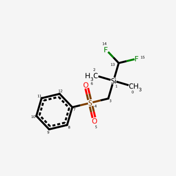 C[Si](C)(CS(=O)(=O)c1ccccc1)C(F)F